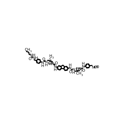 CCCCNC(=O)NCc1ccc(NC(=O)NCC(C)(C)CNC(=O)Nc2ccc3c(c2)Cc2cc(NC(=O)NCC(C)(C)CNC(=O)Nc4ccc(CN=C=O)cc4)ccc2-3)cc1